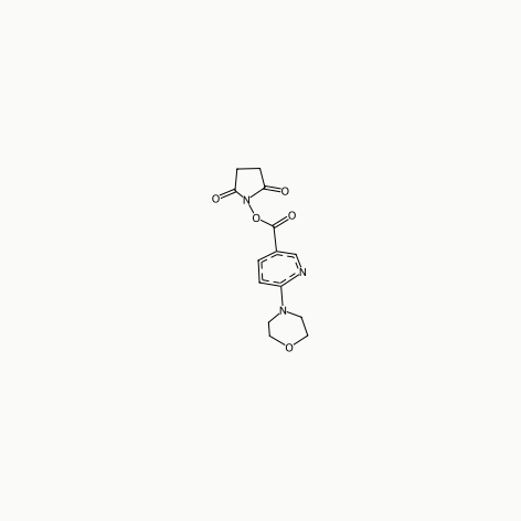 O=C(ON1C(=O)CCC1=O)c1ccc(N2CCOCC2)nc1